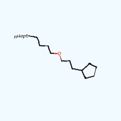 CCCCCCCCCCCOCCCC1CCCC1